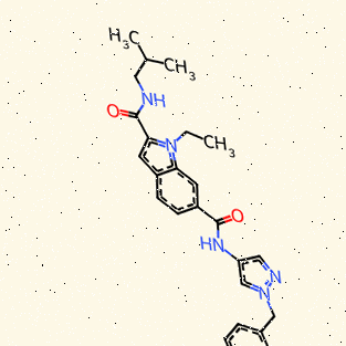 CCn1c(C(=O)NCC(C)C)cc2ccc(C(=O)Nc3cnn(Cc4ccccc4)c3)cc21